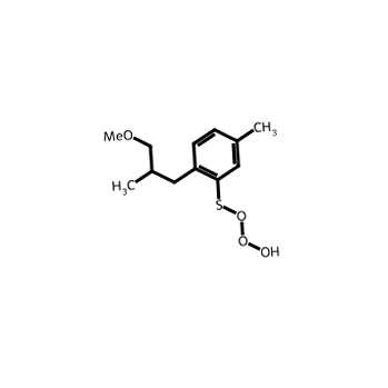 COCC(C)Cc1ccc(C)cc1SOOO